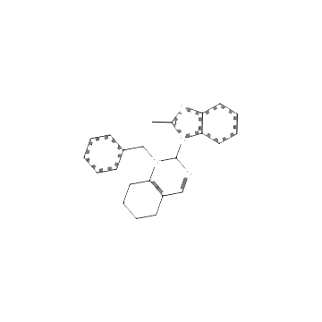 Cc1nc2ccccc2n1C1N=CC2=C(CCCC2)N1Cc1ccccc1